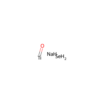 [NaH].[O]=[Ti].[SeH2]